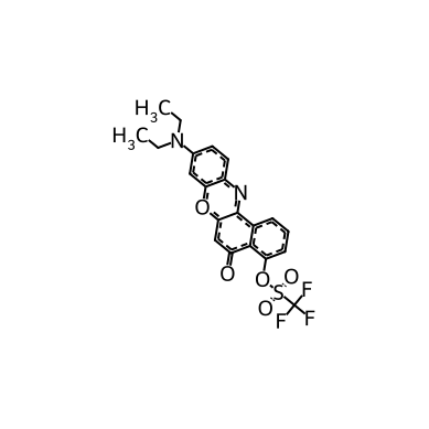 CCN(CC)c1ccc2nc3c4cccc(OS(=O)(=O)C(F)(F)F)c4c(=O)cc-3oc2c1